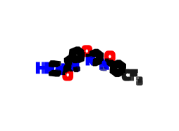 CN(C(=O)c1ccc(C(F)(F)F)cc1)c1ccc(Oc2ccc3cc(C(=O)N4CCNCC4)n(C)c3c2)nc1